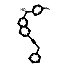 CC(=O)c1ccc(C(O)c2ccc3ccc(C#CCc4ccccc4)cc3c2)cc1